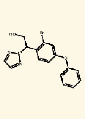 OCC(c1ccc(Oc2ccccc2)cc1Br)n1nccn1